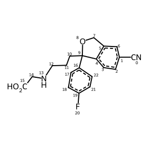 N#Cc1ccc2c(c1)COC2(CCCNCC(=O)O)c1ccc(F)cc1